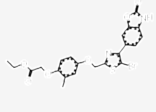 CCOC(=O)COc1ccc(OCc2nc(-c3ccc4[nH]c(=O)oc4c3)c(Br)s2)cc1C